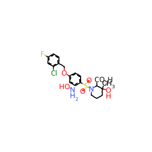 CC1(O)CCCN(S(=O)(=O)c2ccc(OCc3ccc(F)cc3Cl)cc2)C1C(=O)O.NO